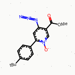 COC(=O)c1c[n+]([O-])c(-c2ccc(C(C)(C)C)cc2)cc1N=[N+]=[N-]